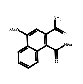 CNC(=O)c1c(C(N)=O)cc(OC)c2ccccc12